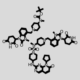 CN(C(=O)OC(C)(C)C)C1CCN(Cc2cccc3c2n(C)c(=O)n3C2CCC(=O)NC2=O)CC1.CN(C1CCN(Cc2cccc3c2n(C)c(=O)n3C2CCC(=O)NC2=O)CC1)S(=O)(=O)N1CCC(Nc2ncc3ccc(=O)n(C4CCCC4)c3n2)CC1